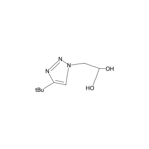 CC(C)(C)c1cn(CC(O)O)nn1